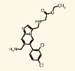 CCOC(=O)CNCc1cnc2cc(CN)c(-c3ccc(Cl)cc3Cl)cn12